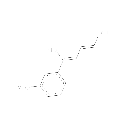 CCCC/C(=C\C=C\C(=O)O)c1cccc(OC)c1